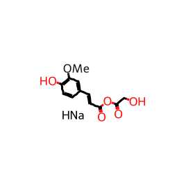 COc1cc(C=CC(=O)OC(=O)CO)ccc1O.[NaH]